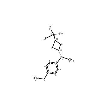 CN(c1ccc(CN)cn1)[C@H]1C[C@H](C(F)(F)F)C1